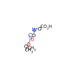 Cc1cccc(OCCCC(=O)N2CCCCc3c(-c4cnn(Cc5cccc(C(=O)O)c5)c4)cccc32)c1C